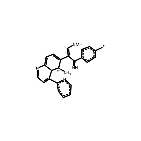 CN/C=C(\C(=N)c1ccc(F)cc1)C1=CC=C2N=CC=C(c3ccccn3)C2[C@@H]1C